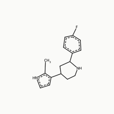 Cc1[nH]ccc1C1CCNC(c2ccc(F)cc2)C1